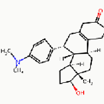 CN(C)c1ccc([C@@H]2CC3=C(CCC(=O)C3)[C@H]3CC[C@]4(C)[C@@H](O)CC[C@H]4[C@@H]32)cc1